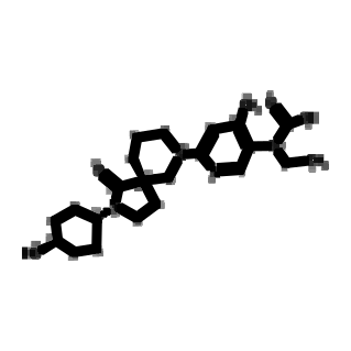 CCN(C(=O)O)c1cnc(N2CCC[C@]3(CCN([C@H]4CC[C@H](O)CC4)C3=O)C2)cc1C